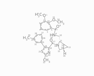 COc1cccc(C(=O)NC[C@@H]2C3C[C@@H]3CN2C(=O)c2nc(C)sc2-c2cccc(C)c2)c1OC